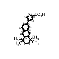 CC1(C)CCC(C)(C)c2cc3cc(-c4csc(C(=O)O)c4)ccc3cc21